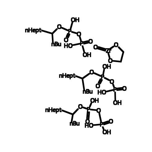 CCCCCCCC(CCCC)OP(=O)(O)OP(=O)(O)O.CCCCCCCC(CCCC)OP(=O)(O)OP(=O)(O)O.CCCCCCCC(CCCC)OP(=O)(O)OP(=O)(O)O.[O]=[Zr]1[O]CC[O]1